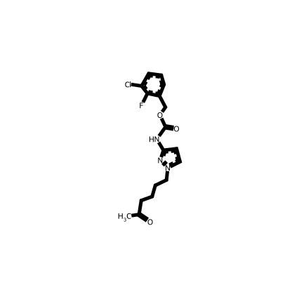 CC(=O)CCCCn1ccc(NC(=O)OCc2cccc(Cl)c2F)n1